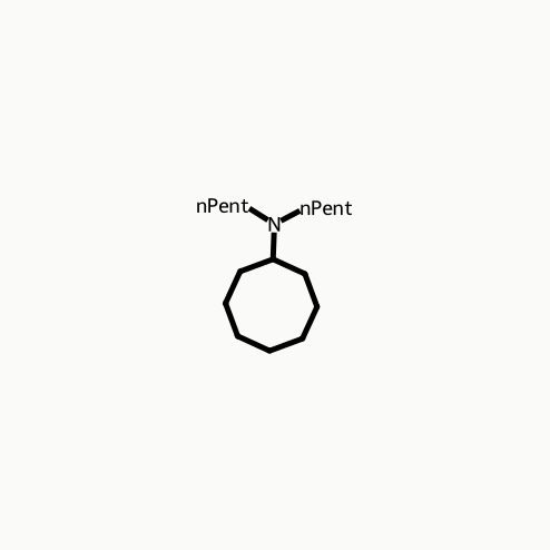 CCCCCN(CCCCC)C1CCCCCCC1